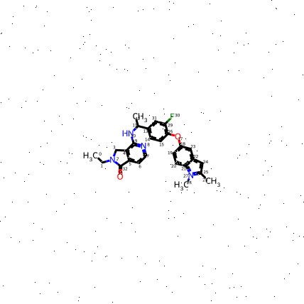 CCN1Cc2c(ccnc2NC(C)c2ccc(Oc3ccc4c(c3)cc(C)n4C)c(F)c2)C1=O